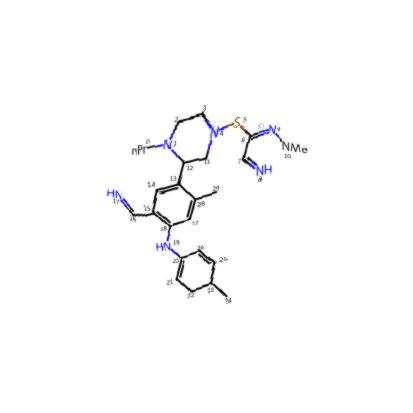 CCCN1CCN(S/C(C=N)=N/NC)CC1c1cc(C=N)c(NC2=CCC(C)C=C2)cc1C